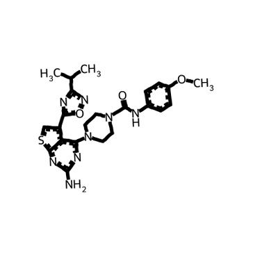 COc1ccc(NC(=O)N2CCN(c3nc(N)nc4scc(-c5nc(C(C)C)no5)c34)CC2)cc1